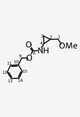 COCC1CC1NC(=O)OCc1ccccc1